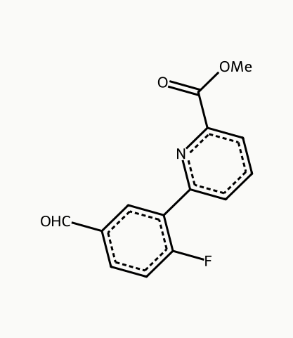 COC(=O)c1cccc(-c2cc(C=O)ccc2F)n1